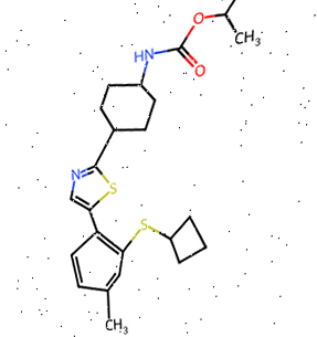 Cc1ccc(-c2cnc(C3CCC(NC(=O)OC(C)C)CC3)s2)c(SC2CCC2)c1